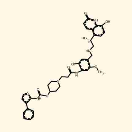 COc1cc(NC(=O)CCN2CCC(OC(=O)Nc3sccc3-c3ccccc3)CC2)c(Cl)cc1CNC[C@H](O)c1ccc(O)c2[nH]c(=O)ccc12